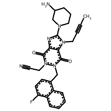 CC#CCn1c(N2CCCC(N)C2)nc2c(=O)n(CC#N)n(Cc3ccc(F)c4ccccc34)c(=O)c21